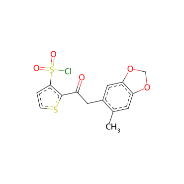 Cc1cc2c(cc1CC(=O)c1sccc1S(=O)(=O)Cl)OCO2